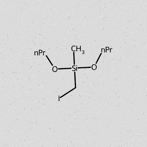 CCCO[Si](C)(CI)OCCC